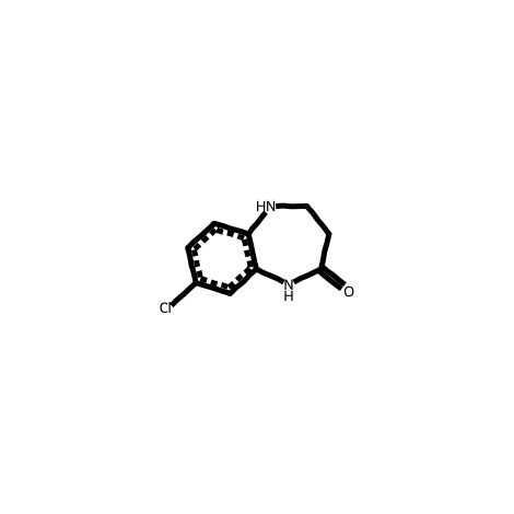 O=C1CCNc2ccc(Cl)cc2N1